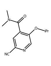 CC(C)Oc1cnc(C#N)cc1C(=O)N(C)C